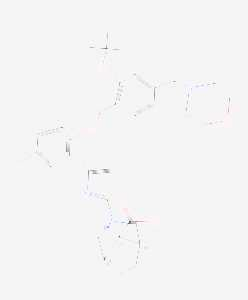 Cc1ccc(OCc2ccc(CN3CCOCC3)cc2OC(F)(F)F)c(-c2csc(N3C[C@H]4CC[C@@H](C3)[C@H]4C(=O)O)n2)c1